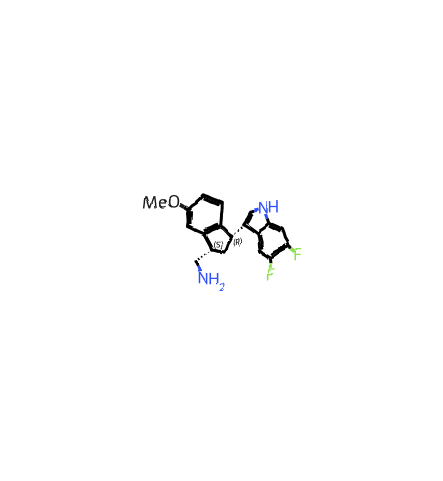 COc1ccc2c(c1)[C@@H](CN)C[C@H]2c1c[nH]c2cc(F)c(F)cc12